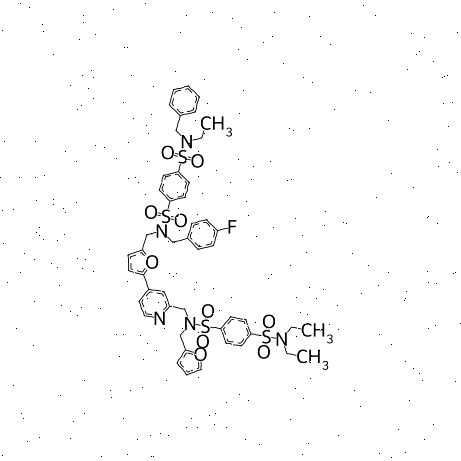 CCN(CC)S(=O)(=O)c1ccc(S(=O)(=O)N(Cc2cc(-c3ccc(CN(Cc4ccc(F)cc4)S(=O)(=O)c4ccc(S(=O)(=O)N(CC)Cc5ccccc5)cc4)o3)ccn2)Cc2ccco2)cc1